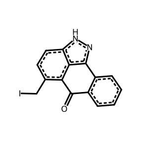 O=C1c2ccccc2-c2n[nH]c3ccc(CI)c1c23